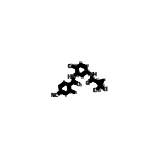 Cc1cc(C#N)ccc1C(=O)Nc1cc(NC(=O)C2CC2(Cl)Cl)ccc1Cl